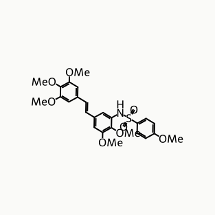 COc1ccc(S(=O)(=O)Nc2cc(C=Cc3cc(OC)c(OC)c(OC)c3)cc(OC)c2OC)cc1